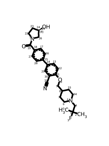 CC(C)(F)CN1CCC(COc2ccc(-c3ccc(C(=O)N4CC[C@@H](O)C4)cc3)cc2C#N)CC1